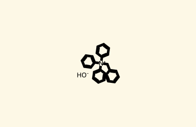 [OH-].c1ccc(C[N+](c2ccccc2)(c2ccccc2)c2ccccc2)cc1